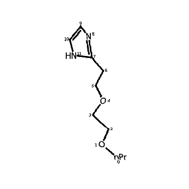 CCCOCCOCCc1n[c]c[nH]1